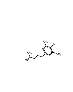 Cc1cc(OCC[C@H](C)N=O)nc(C)c1Br